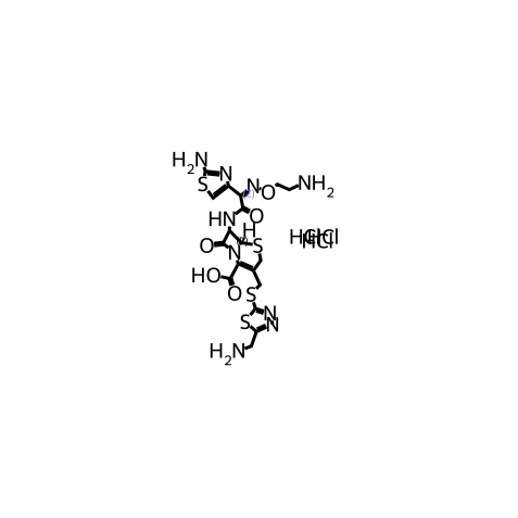 Cl.Cl.Cl.NCCO/N=C(\C(=O)NC1C(=O)N2C(C(=O)O)=C(CSc3nnc(CN)s3)CS[C@H]12)c1csc(N)n1